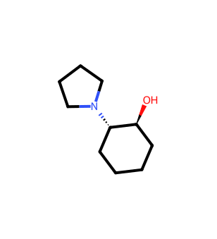 O[C@H]1CCCC[C@@H]1N1CCCC1